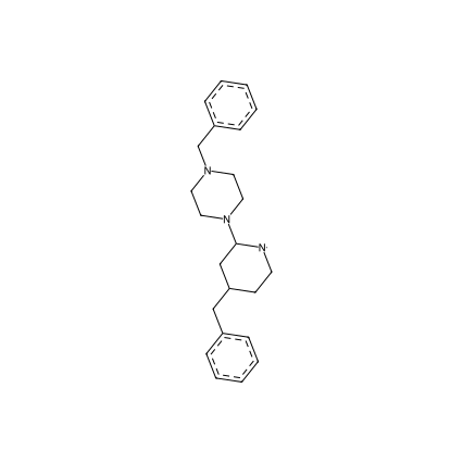 c1ccc(CC2CC[N]C(N3CCN(Cc4ccccc4)CC3)C2)cc1